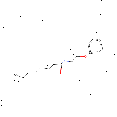 CC(=O)CCCCCCC(=O)NCCOc1ccccc1